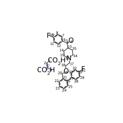 O=C(O)/C=C\C(=O)O.O=C(c1ccc(F)cc1)C1CCN(CCOCc2ccccc2-c2ccc(F)cc2)CC1